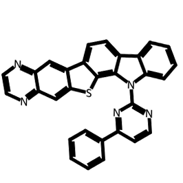 c1ccc(-c2ccnc(-n3c4ccccc4c4ccc5c6cc7nccnc7cc6sc5c43)n2)cc1